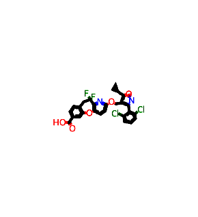 O=C(O)c1ccc2c(c1)Oc1ccc(OCc3c(-c4c(Cl)cccc4Cl)noc3C3CC3)nc1C(F)(F)C2